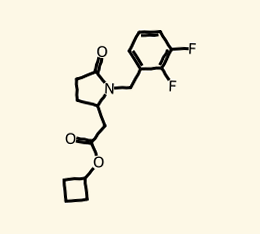 O=C(CC1CCC(=O)N1Cc1cccc(F)c1F)OC1CCC1